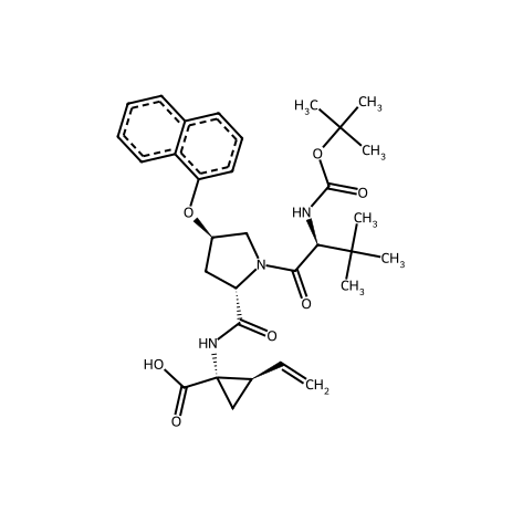 C=C[C@H]1C[C@@]1(NC(=O)[C@@H]1C[C@@H](Oc2cccc3ccccc23)CN1C(=O)[C@@H](NC(=O)OC(C)(C)C)C(C)(C)C)C(=O)O